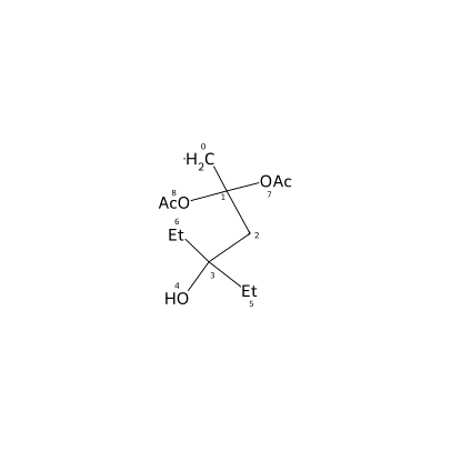 [CH2]C(CC(O)(CC)CC)(OC(C)=O)OC(C)=O